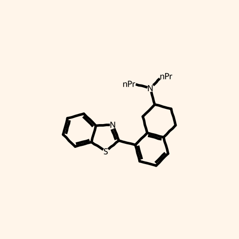 CCCN(CCC)C1CCc2cccc(-c3nc4ccccc4s3)c2C1